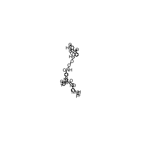 CC1(C)CCN(c2nn(-c3ccc(C(=O)NCCOCCOCCNc4cccc5c4C(=O)N(C4CCC(=O)NC4=O)C5=O)cc3)cc2NC(=O)c2coc(-c3ccnc(NCC(F)(F)F)c3)n2)C1=O